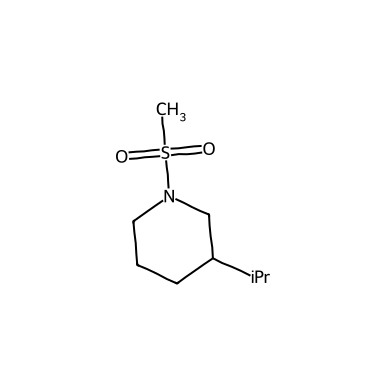 CC(C)C1CCCN(S(C)(=O)=O)C1